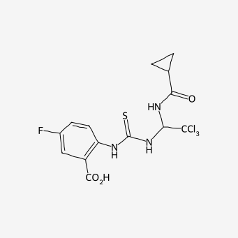 O=C(O)c1cc(F)ccc1NC(=S)NC(NC(=O)C1CC1)C(Cl)(Cl)Cl